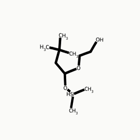 C[SiH](C)OC(CC(C)(C)C)OCCO